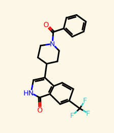 O=C(c1ccccc1)N1CCC(c2c[nH]c(=O)c3cc(C(F)(F)F)ccc23)CC1